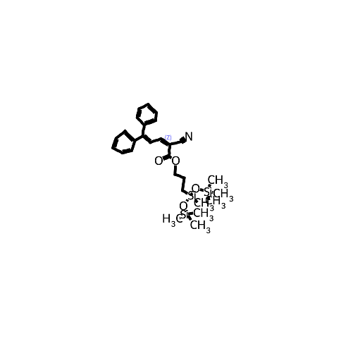 C[Si](C)(C)O[Si](C)(CCCOC(=O)/C(C#N)=C\C=C(c1ccccc1)c1ccccc1)O[Si](C)(C)C